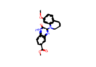 COC(=O)c1ccc2[nH]c(=O)c(N3CCCc4ccc(OC)cc43)nc2c1